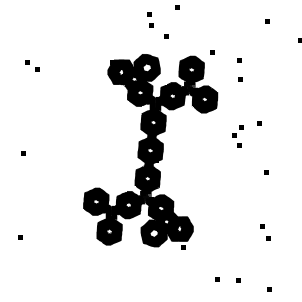 c1ccc(N(c2ccccc2)c2ccc(N(c3ccc(-c4ccc(-c5ccc(N(c6ccc(N(c7ccccc7)c7ccccc7)cc6)c6ccc7c(c6)C6(CCCCC6)c6ccccc6-7)cc5)cc4)cc3)c3ccc4c(c3)C3(CCCCC3)c3ccccc3-4)cc2)cc1